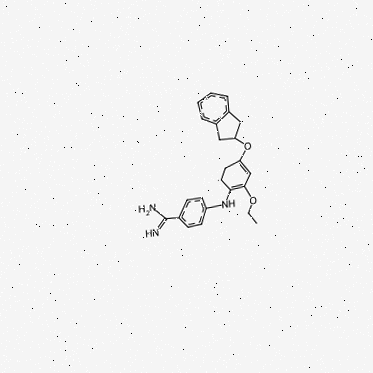 CCOC1=C(Nc2ccc(C(=N)N)cc2)[CH]CC(OC2Cc3ccccc3C2)=C1